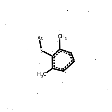 CC(=O)Sc1c(C)cccc1C